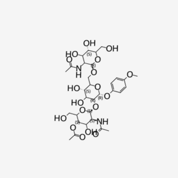 COc1ccc(O[C@H]2OC(CO[C@@H]3OC(CO)[C@@H](O)C(O)C3NC(C)=O)[C@@H](O)C(O)[C@H]2O[C@@H]2OC(CO)[C@@H](OC(C)=O)C(O)[C@@H]2NC(C)=O)cc1